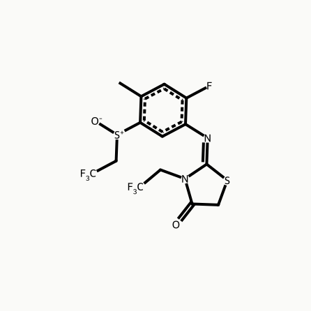 Cc1cc(F)c(/N=C2/SCC(=O)N2CC(F)(F)F)cc1[S+]([O-])CC(F)(F)F